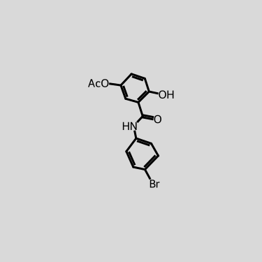 CC(=O)Oc1ccc(O)c(C(=O)Nc2ccc(Br)cc2)c1